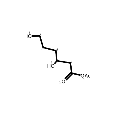 CC(=O)OC(=O)CC(O)CCCO